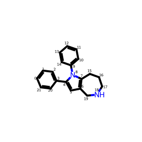 c1ccc(-c2cc3c(n2-c2ccccc2)CCCNC3)cc1